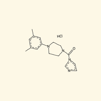 Cc1cc(C)cc(N2CCN(C(=O)n3ccnc3)CC2)c1.Cl